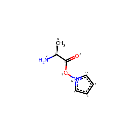 C[C@H](N)C(=O)On1cccc1